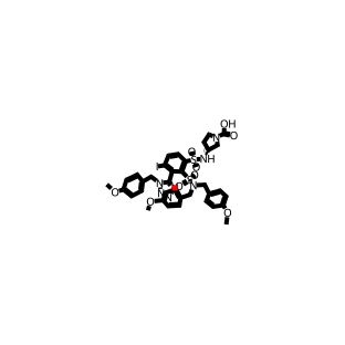 COc1ccc(CN(Cc2ccc(OC)cc2)S(=O)(=O)c2c(S(=O)(=O)N[C@H]3CCN(C(=O)O)C3)ccc(I)c2-c2nnnn2Cc2ccc(OC)cc2)cc1